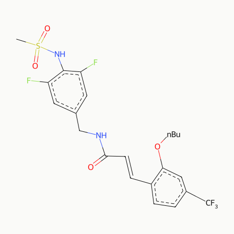 CCCCOc1cc(C(F)(F)F)ccc1/C=C/C(=O)NCc1cc(F)c(NS(C)(=O)=O)c(F)c1